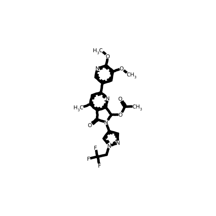 COc1cc(-c2cc(C)c3c(n2)C(OC(C)=O)N(c2cnn(CC(F)(F)F)c2)C3=O)cnc1OC